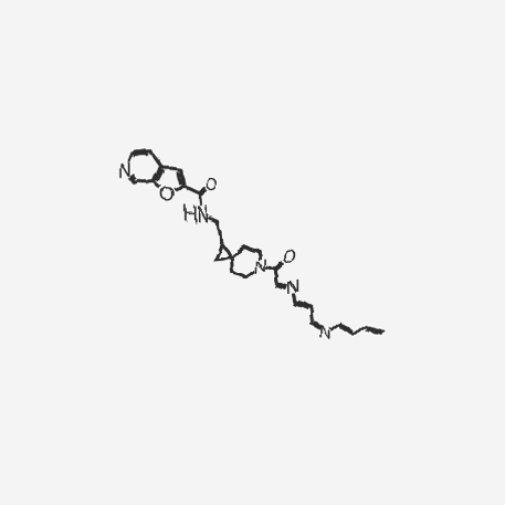 C=C/C=C/N=C\C=C\N=C\C(=O)N1CCC2(CC1)CC2CNC(=O)c1cc2ccncc2o1